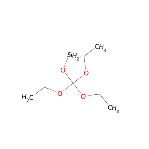 CCOC(O[SiH2])(OCC)OCC